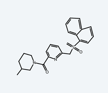 C=S(=O)(Cc1cccc(C(=O)N2CCCC(C)C2)n1)c1cccc2ccccc12